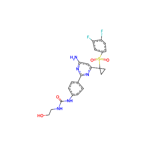 Nc1cc(C2(S(=O)(=O)c3ccc(F)c(F)c3)CC2)nc(-c2ccc(NC(=O)NCCO)cc2)n1